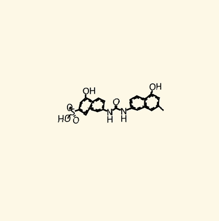 Cc1cc(O)c2ccc(NC(=O)Nc3ccc4c(O)cc(S(=O)(=O)O)cc4c3)cc2c1